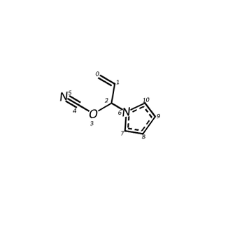 C=CC(OC#N)n1cccc1